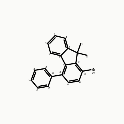 CC1(C)c2ccccc2-c2c(-c3ccccc3)ccc(Br)c21